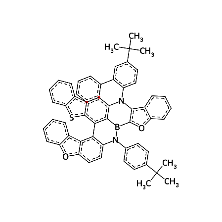 CC(C)(C)c1ccc(N2B3c4oc5ccccc5c4N(c4ccc(C(C)(C)C)cc4-c4ccccc4)c4cc5c(sc6ccccc65)c(c43)-c3c2ccc2oc4ccccc4c32)cc1